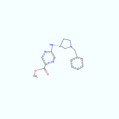 COC(=O)c1cnc(N[C@@H]2CCN(Cc3ccccc3)C2)cn1